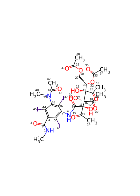 CNC(=O)c1c(I)c(NC(=O)[C@@](O)(C(C)=O)[C@](O)(C(C)=O)[C@@](O)(C(C)=O)[C@@H](COC(C)=O)OC(C)=O)c(I)c(N(C)C(C)=O)c1I